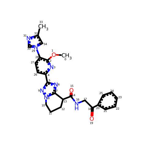 COc1nc(-c2nc3n(n2)CCCC3C(=O)NCC(=O)c2ccccc2)ccc1-n1cnc(C)c1